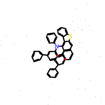 c1ccc(-c2ccc(-c3ccc4sc5ccccc5c4c3N(c3ccccc3)c3cc(-c4ccccc4)ccc3-c3ccccc3)cc2)cc1